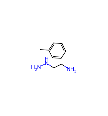 Cc1ccccc1.NCCNN